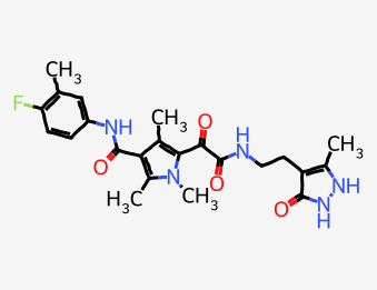 Cc1cc(NC(=O)c2c(C)c(C(=O)C(=O)NCCc3c(C)[nH][nH]c3=O)n(C)c2C)ccc1F